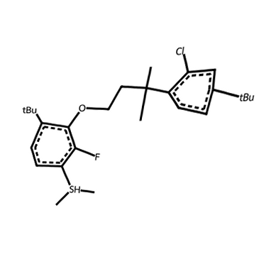 C[SH](C)c1ccc(C(C)(C)C)c(OCCC(C)(C)c2ccc(C(C)(C)C)cc2Cl)c1F